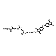 CCCCCCCNC(=O)OCOC(=O)OCOC(=O)NCCCCCCN1C(=O)c2ccc(Oc3ccc4c(c3)C(=O)N(C)C4=O)cc2C1=O